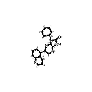 O=c1[nH]c2ncc(-c3cccc4ncccc34)nc2n1-c1ccccc1